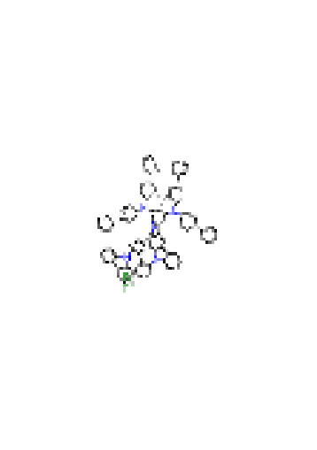 N#Cc1ccc(-n2c3ccccc3c3ccccc32)c(-c2cc(C(F)(F)F)ccc2-n2c3ccccc3c3cc(-c4cc5c6c(c4)N(c4ccc(-c7ccccc7)cc4)c4ccc(-c7ccccc7)cc4B6c4cc(-c6ccccc6)ccc4N5c4ccc(-c5ccccc5)cc4)ccc32)c1